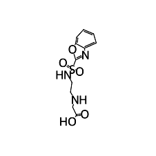 O=C(O)CNCCNS(=O)(=O)c1nc2ccccc2o1